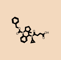 CC12CCCC1N(C(=O)OCc1ccccc1)c1ccccc1C2N(C(=O)CCC(=O)O)C1CC1